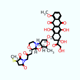 COc1cccc2c1C(=O)c1c(O)c3c(c(O)c1C2=O)C[C@@](O)(C(=O)CO)C[C@@H]3O[C@H]1C[C@H]2[C@H](O[C@@H]3[C@@H](CC(=O)CN4C(=O)CC(SC)C4=O)OCCN32)[C@H](C)O1